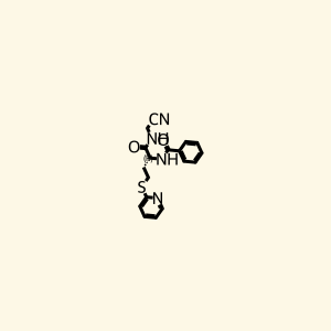 N#CCNC(=O)[C@@H](CCSc1ccccn1)NC(=O)c1ccccc1